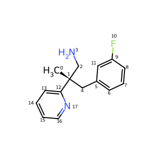 C[C@@](CN)(Cc1cccc(F)c1)c1ccccn1